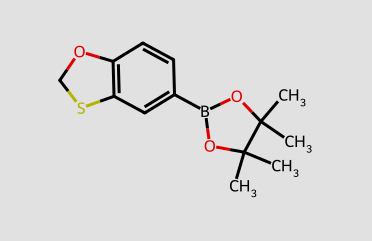 CC1(C)OB(c2ccc3c(c2)SCO3)OC1(C)C